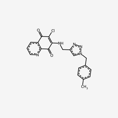 Cc1ccc(Cn2cc(CNC3=C(Cl)C(=O)c4cccnc4C3=O)nn2)cc1